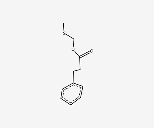 CSCOC(=O)CCc1ccccc1